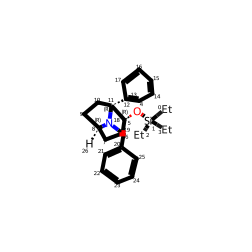 CC[Si](CC)(CC)O[C@@H]1CC[C@H]2CC[C@]1(c1ccccc1)N2Cc1ccccc1